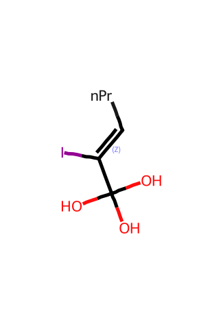 CCC/C=C(\I)C(O)(O)O